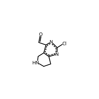 O=Cc1nc(Cl)nc2c1CNCC2